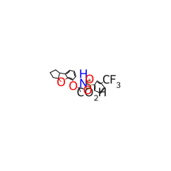 O=C(O)C(NS(=O)(=O)c1cccc(C(F)(F)F)c1)Oc1cccc2c1OC1CCCC21